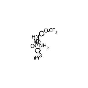 CC(C)Oc1ccc(C(=O)n2nc(Nc3ccc(OCC(F)(F)F)cc3)nc2N)cc1